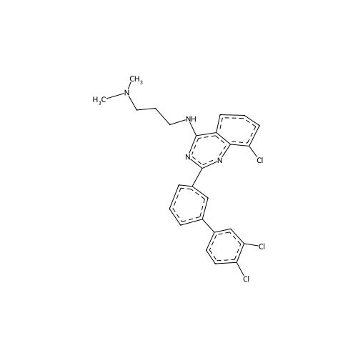 CN(C)CCCNc1nc(-c2cccc(-c3ccc(Cl)c(Cl)c3)c2)nc2c(Cl)cccc12